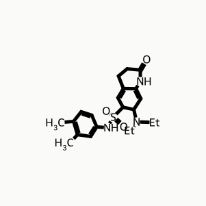 CCN(CC)C1C=C2NC(=O)CCC2=CC1S(=O)(=O)Nc1ccc(C)c(C)c1